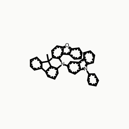 CC1(C)c2ccccc2-c2cccc(N(c3ccc4c(c3)c3ccccc3n4-c3ccccc3)c3cccc4oc5ccccc5c34)c21